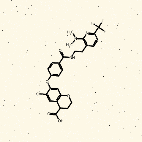 CN(C)c1nc(C(F)(F)F)ccc1CCNC(=O)c1ccc(Oc2cc3c(cc2Cl)C(C(=O)O)CCO3)cc1